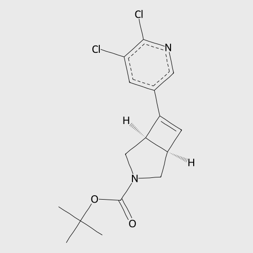 CC(C)(C)OC(=O)N1C[C@@H]2C=C(c3cnc(Cl)c(Cl)c3)[C@@H]2C1